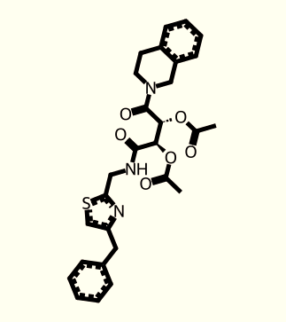 CC(=O)O[C@@H](C(=O)NCc1nc(Cc2ccccc2)cs1)[C@@H](OC(C)=O)C(=O)N1CCc2ccccc2C1